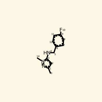 Cc1cc(NCc2ccc(F)cc2)n(C)n1